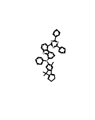 Cc1cc2c(cc1N(c1ccccc1)c1cccc3c1oc1cccc(-c4nc(-c5ccccc5)nc(-c5ccccc5)n4)c13)C(C)(C)C1=CCCC=C12